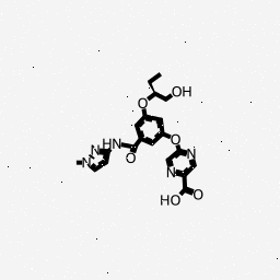 CC[C@@H](CO)Oc1cc(Oc2cnc(C(=O)O)cn2)cc(C(=O)Nc2ccn(C)n2)c1